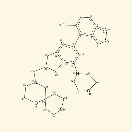 Fc1ccc2[nH]ccc2c1-c1nc2c(c(N3CCOCC3)n1)SC(CN1CCOC3(CCNCC3)C1)C2